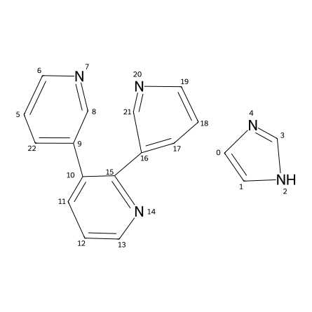 c1c[nH]cn1.c1cncc(-c2cccnc2-c2cccnc2)c1